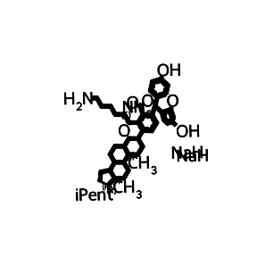 CCC[C@@H](C)[C@H]1CCC2C3CCC4CC(c5ccc6c(c5C(=O)[C@@H](N)CCCCN)C(=O)OC65c6ccc(O)cc6Oc6cc(O)ccc65)CC[C@]4(C)C3CC[C@@]21C.[NaH].[NaH]